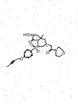 CC#CCOc1ccc(S(=O)(=O)N2C[C@H](CC(=O)N3CCOCC3)SC(C)(C)[C@@H]2C(=O)NO)cc1